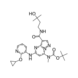 CN(C(=O)OC(C)(C)C)c1cc(Nc2cccnc2OC2CC2)nc2c(C(=O)NCCC(C)(C)O)cnn12